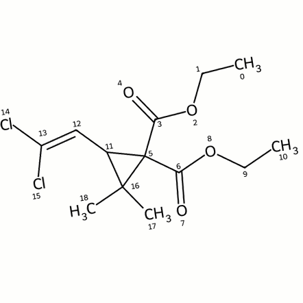 CCOC(=O)C1(C(=O)OCC)C(C=C(Cl)Cl)C1(C)C